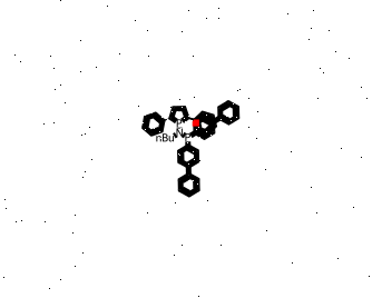 CCCCN(P(c1ccc(-c2ccccc2)cc1)c1ccc(-c2ccccc2)cc1)P1[C@H](c2ccccc2)CC[C@H]1c1ccccc1